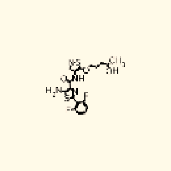 CC(O)CCCOc1sncc1NC(=O)c1nc(-c2c(F)cccc2F)sc1N